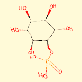 O=P(O)(O)O[C@H]1[C@@H](O)[C@H](O)[C@@H](O)[C@@H](O)[C@@H]1O